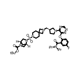 CC(C)N(C(=O)c1cc(F)ccc1Oc1nncnc1N1CC[C@@H](CN2CC3(CCN(S(=O)(=O)N4C[C@@H]5C[C@H]4CN5C(=O)OC(C)(C)C)CC3)C2)C1)C(C)C